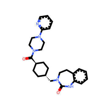 O=C1Nc2ccccc2CCN1C[C@H]1CC[C@H](C(=O)N2CCN(c3ccccn3)CC2)CC1